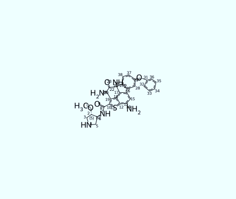 CO[C@H]1CNC[C@@H]1NC(=O)c1sc2c(N)ccc3c2c1C(N)C(=O)C3(N)c1ccc(Oc2ccccc2)cc1